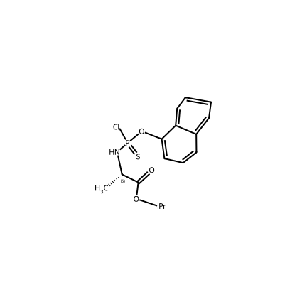 CC(C)OC(=O)[C@H](C)NP(=S)(Cl)Oc1cccc2ccccc12